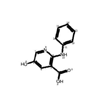 O=C(O)c1cc(O)cnc1Nc1ccccc1